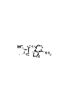 [CH2][C@H]1O[C@@H](n2cnc3c(N)ncnc32)[C@H](O)[C@@H]1O